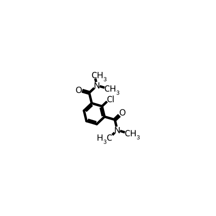 CN(C)C(=O)c1cccc(C(=O)N(C)C)c1Cl